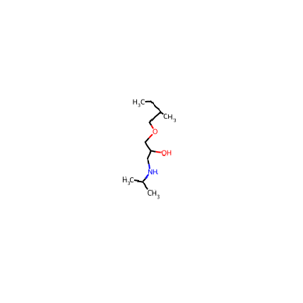 CCC(C)COCC(O)CNC(C)C